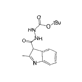 CC1=Nc2ccccc2C1C(=O)NNC(=O)OC(C)(C)C